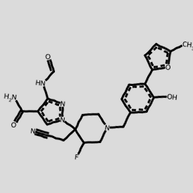 Cc1ccc(-c2ccc(CN3CCC(CC#N)(n4cc(C(N)=O)c(NC=O)n4)C(F)C3)cc2O)o1